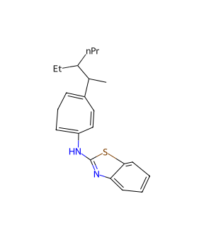 CCCC(CC)C(C)C1=CCC=C(Nc2nc3ccccc3s2)C=C1